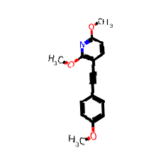 COc1ccc(C#Cc2ccc(OC)nc2OC)cc1